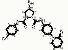 O=C(Nc1ccc(Br)cc1)N1C[C@@H](O)CN1C(=O)Nc1ccc(-n2ccccc2=O)cc1